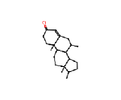 CC1CC2=CC(=O)CCC2(C)C2CCC3(C)C(C)CCC3C12